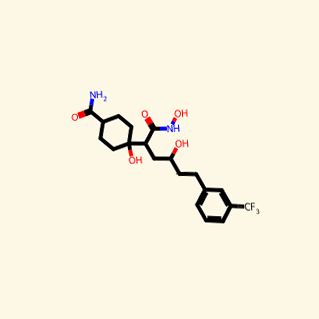 NC(=O)C1CCC(O)(C(CC(O)[CH]Cc2cccc(C(F)(F)F)c2)C(=O)NO)CC1